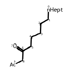 CCCCCCCCCCCCC(=O)CC(C)=O